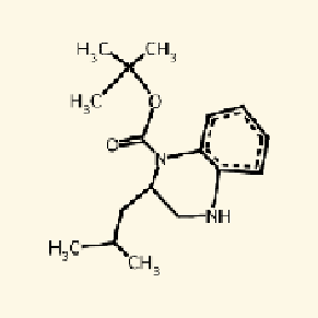 CC(C)CC1CNc2ccccc2N1C(=O)OC(C)(C)C